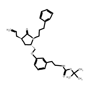 C=CC[C@@H]1C[C@@H](COc2cccc(CCNC(=O)OC(C)(C)C)c2)N(CCCc2ccccc2)C1=O